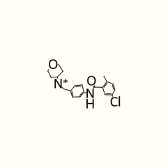 Cc1ccc(Cl)cc1C(=O)Nc1ccc(C[N+](C)(C)C2CCOCC2)cc1